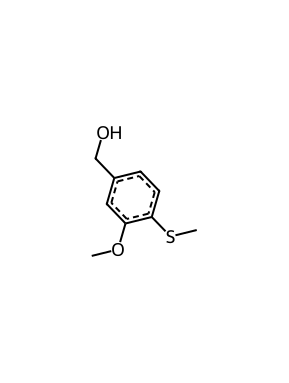 COc1cc(CO)ccc1SC